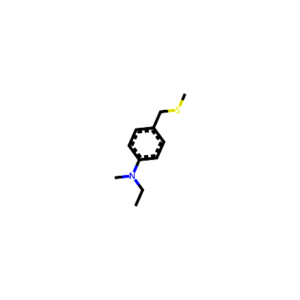 CCN(C)c1ccc(CSC)cc1